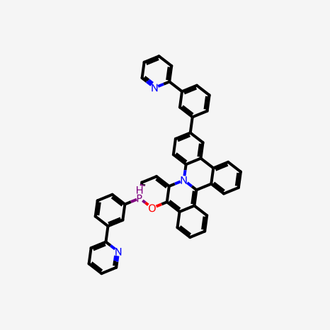 C1=C2C(=c3ccccc3=C3c4ccccc4-c4cc(-c5cccc(-c6ccccn6)c5)ccc4N23)O[PH](c2cccc(-c3ccccn3)c2)=C1